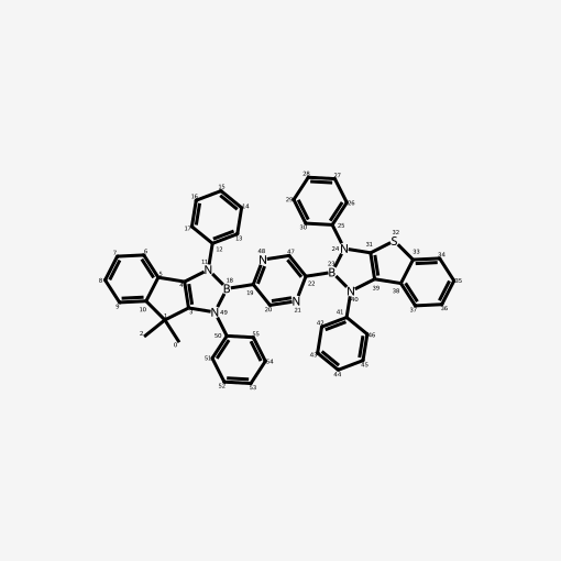 CC1(C)C2=C(c3ccccc31)N(c1ccccc1)B(c1cnc(B3N(c4ccccc4)c4sc5ccccc5c4N3c3ccccc3)cn1)N2c1ccccc1